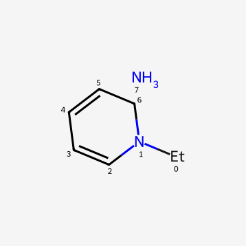 CCN1C=CC=CC1.N